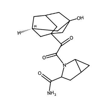 NC(=O)C1CC2CC2N1C(=O)C(=O)C12CC3C[C@@H](CC(O)(C3)C1)C2